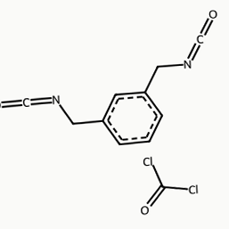 O=C(Cl)Cl.O=C=NCc1cccc(CN=C=O)c1